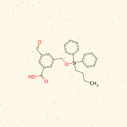 CCCC[Si](OCc1cc(C=O)cc(C(=O)O)c1)(c1ccccc1)c1ccccc1